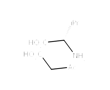 CC(=O)CC(=O)O.CC(C)[C@H](N)C(=O)O